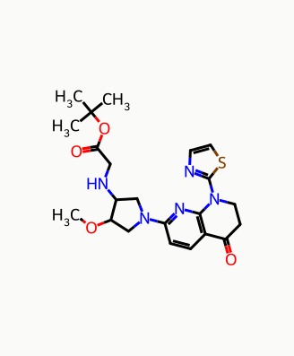 COC1CN(c2ccc3c(n2)N(c2nccs2)CCC3=O)CC1NCC(=O)OC(C)(C)C